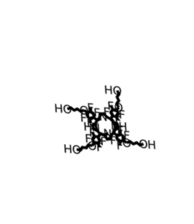 OCCCCOc1c(F)c(F)c(-c2c3nc(c(-c4c(F)c(F)c(OCCCCO)c(F)c4F)c4ccc([nH]4)c(-c4c(F)c(F)c(OCCCCO)c(F)c4F)c4nc(c(-c5c(F)c(F)c(OCCCCO)c(F)c5F)c5ccc2[nH]5)C=C4)C=C3)c(F)c1F